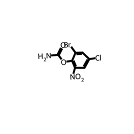 NC(=O)Oc1c(Br)cc(Cl)cc1[N+](=O)[O-]